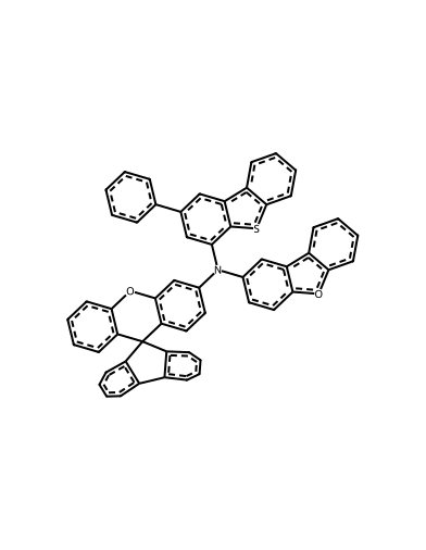 c1ccc(-c2cc(N(c3ccc4c(c3)Oc3ccccc3C43c4ccccc4-c4ccccc43)c3ccc4oc5ccccc5c4c3)c3sc4ccccc4c3c2)cc1